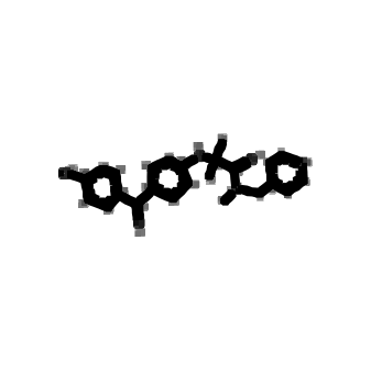 CN(Cc1ccncc1)C(=O)C(C)(C)Oc1ccc(C(=O)c2ccc(Cl)cc2)cc1